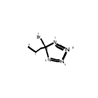 CCC1(Br)N=NN=N1